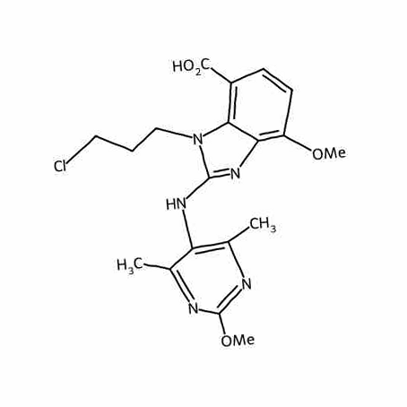 COc1nc(C)c(Nc2nc3c(OC)ccc(C(=O)O)c3n2CCCCl)c(C)n1